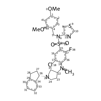 COc1ccc(CN(c2cscn2)S(=O)(=O)c2cc(Cl)c(N(C)C3CCN([C@H]4CCc5ccccc54)C3)cc2F)c(OC)c1